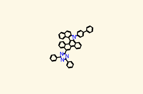 c1ccc(-c2ccc(-n3c4ccc5ccccc5c4c4c5c6ccccc6c(-c6nc(-c7ccccc7)nc(-c7ccccc7)n6)cc5c5ccccc5c43)cc2)cc1